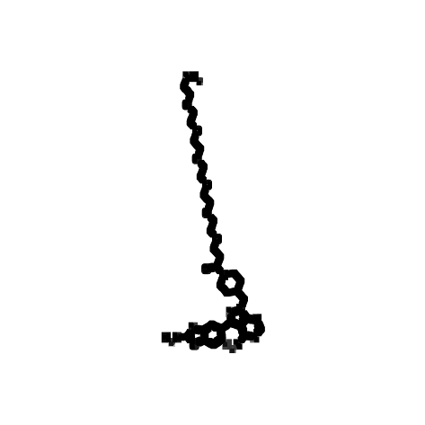 NCCOCCOCCOCCOCCOCCOCCC(=O)N1CCC(Cn2nc(-c3ccc4oc(N)nc4c3)c3c(N)ncnc32)CC1